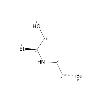 CC[C@@H](C)CCN[C@@H](CC)CO